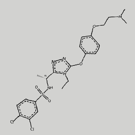 CCn1c(Oc2ccc(OCCN(C)C)cc2)nnc1[C@@H](C)NS(=O)(=O)c1ccc(Cl)c(Cl)c1